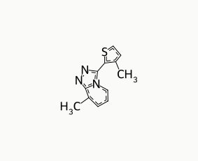 Cc1ccsc1-c1nnc2c(C)cccn12